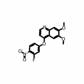 COc1cc2nccc(Oc3ccc([N+](=O)[O-])c(F)c3)c2cc1OC